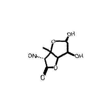 CC12OC(O)C(O)C1OC(=O)[C@@H]2N=O